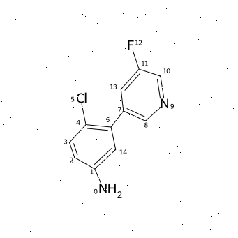 Nc1ccc(Cl)c(-c2cncc(F)c2)c1